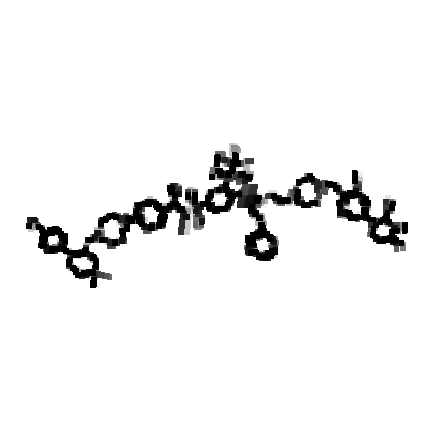 CC1(C)CCC(c2ccc(Cl)cc2)=C(CN2CCN(c3ccc(C(=O)NS(=O)(=O)c4ccc(N[C@H](CCN5CCN(Cc6ncc(N7CCC(=O)NC7=O)cc6F)CC5)CSc5ccccc5)c(S(=O)(=O)C(F)(F)F)c4)cc3)CC2)C1